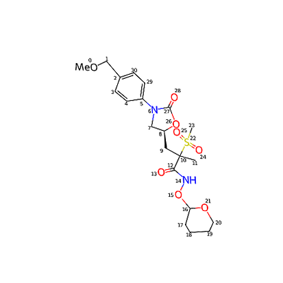 COCc1ccc(N2C[C@H](CC(C)(C(=O)NOC3CCCCO3)S(C)(=O)=O)OC2=O)cc1